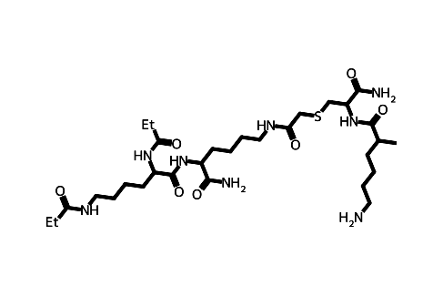 CCC(=O)NCCCCC(NC(=O)CC)C(=O)NC(CCCCNC(=O)CSCC(NC(=O)C(C)CCCCN)C(N)=O)C(N)=O